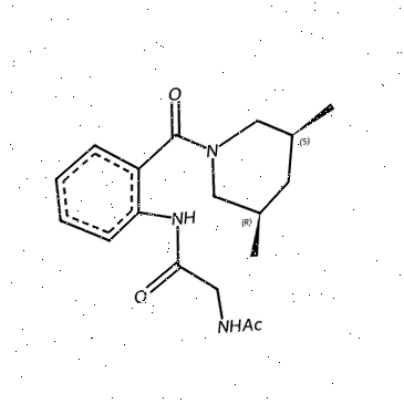 CC(=O)NCC(=O)Nc1ccccc1C(=O)N1C[C@H](C)C[C@H](C)C1